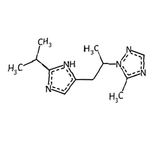 Cc1ncnn1C(C)Cc1cnc(C(C)C)[nH]1